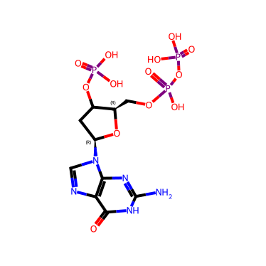 Nc1nc2c(ncn2[C@H]2CC(OP(=O)(O)O)[C@@H](COP(=O)(O)OP(=O)(O)O)O2)c(=O)[nH]1